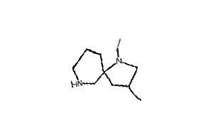 CC1CN(I)C2(CCCNC2)C1